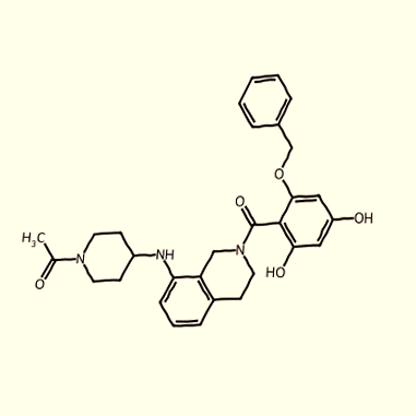 CC(=O)N1CCC(Nc2cccc3c2CN(C(=O)c2c(O)cc(O)cc2OCc2ccccc2)CC3)CC1